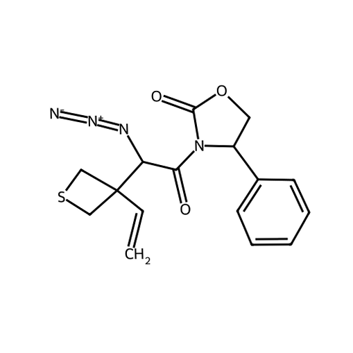 C=CC1(C(N=[N+]=[N-])C(=O)N2C(=O)OCC2c2ccccc2)CSC1